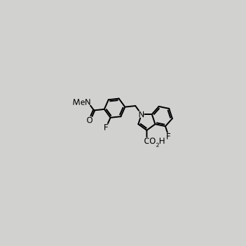 CNC(=O)c1ccc(Cn2cc(C(=O)O)c3c(F)cccc32)cc1F